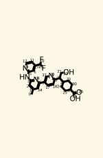 Cc1cc(Nc2cc(C(F)F)ccn2)nc(-c2ccc(C(CO)C3CCC(C(=O)O)CC3)nc2)c1